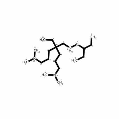 CCC(CC)O[SiH2]CC(CC)(CCCN(C)C)CCCN(C)C